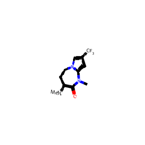 CNC1CCn2cc(C(F)(F)F)cc2N(C)C1=O